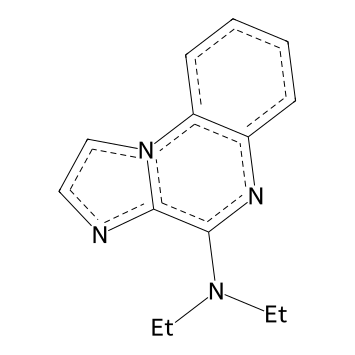 CCN(CC)c1nc2ccccc2n2ccnc12